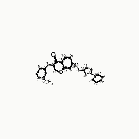 O=c1c(Cc2cccc(C(F)(F)F)c2)coc2cc(OCc3cnn(-c4ccccc4)c3)ccc12